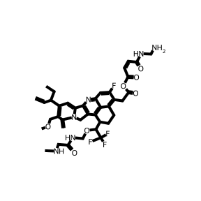 C=CC(CC)C1=C(COC)C(=C)N2Cc3c(nc4cc(F)c(CC(=O)OC(=O)/C=C\C(=O)NCN)c5c4c3C(C(OCNC(=O)CNC)C(F)(F)F)CC5)C2=C1